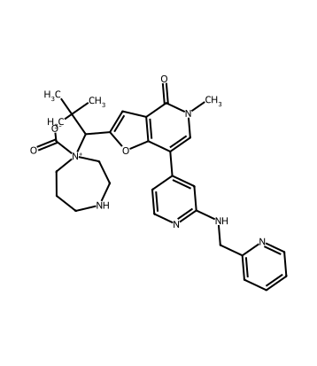 Cn1cc(-c2ccnc(NCc3ccccn3)c2)c2oc(C(C(C)(C)C)[N+]3(C(=O)[O-])CCCNCC3)cc2c1=O